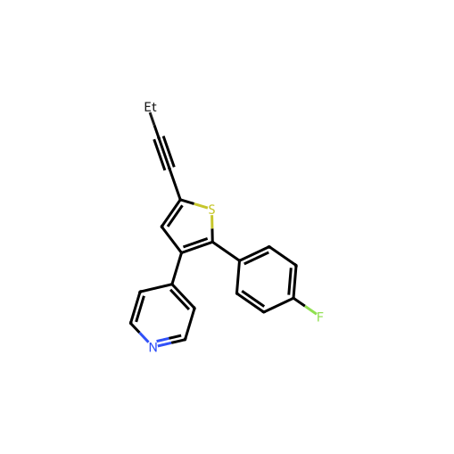 CCC#Cc1cc(-c2ccncc2)c(-c2ccc(F)cc2)s1